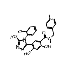 Cc1ccc(CN(C)C(=O)c2cc(-c3nnc(O)n3-c3ccccc3Cl)c(O)cc2O)cc1